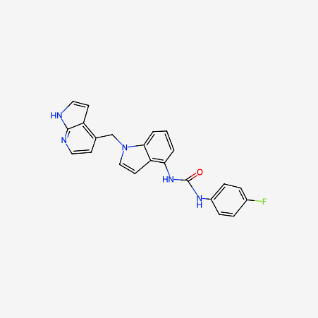 O=C(Nc1ccc(F)cc1)Nc1cccc2c1ccn2Cc1ccnc2[nH]ccc12